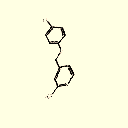 Cc1cc(COc2ccc(S)cc2)ccn1